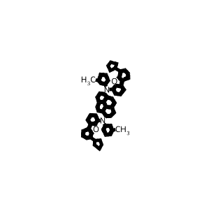 Cc1cccc(N(c2ccc3ccc4c(N(c5cccc(C)c5)c5cccc6c5oc5c(C7CCCC7)cccc56)ccc5ccc2c3c54)c2cccc3c2oc2c(C4CCCC4)cccc23)c1